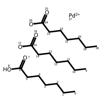 CCCCCCC(=O)O.CCCCCCC(=O)[O-].CCCCCCC(=O)[O-].[Pd+2]